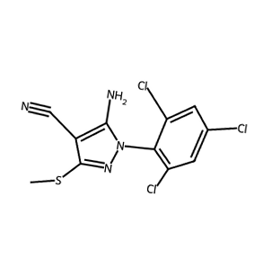 CSc1nn(-c2c(Cl)cc(Cl)cc2Cl)c(N)c1C#N